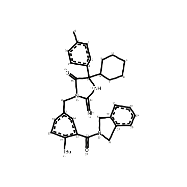 Cc1ccc(C2(C3CCCCC3)NC(=N)N(Cc3ccc(C(C)(C)C)c(C(=O)N4Cc5ccccc5C4)c3)C2=O)cc1